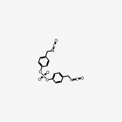 O=C=NCc1ccc(OS(=O)(=O)Oc2ccc(CN=C=O)cc2)cc1